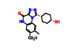 Cc1cc2c(cc1C(=O)O)[nH]c(=O)c1nnc([C@H]3CC[C@@H](O)CC3)n12